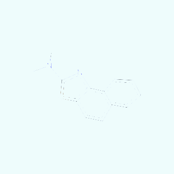 CN(C)c1nc2c(ccc3ccccc32)s1